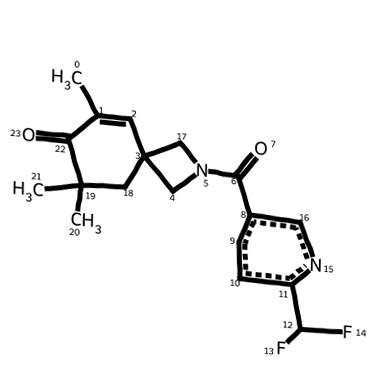 CC1=CC2(CN(C(=O)c3ccc(C(F)F)nc3)C2)CC(C)(C)C1=O